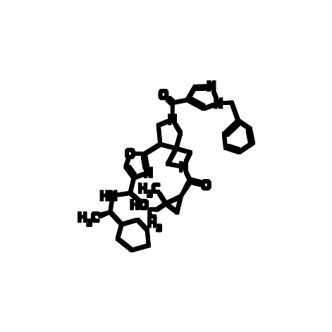 C[C@@H](NC(O)c1coc(C2CN(C(=O)c3cnn(Cc4ccccc4)c3)CC23CN(C(=O)[C@H]2CC2(C)C)C3)n1)C1CCCCC1